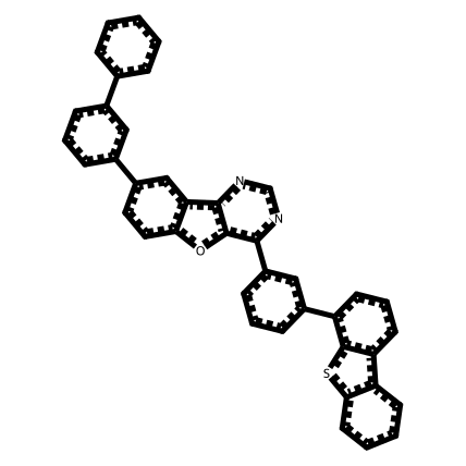 c1ccc(-c2cccc(-c3ccc4oc5c(-c6cccc(-c7cccc8c7sc7ccccc78)c6)ncnc5c4c3)c2)cc1